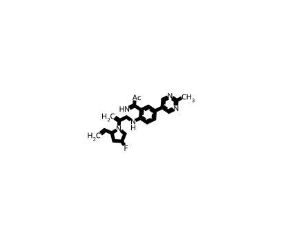 C=CC1CC(F)CN1C(=C)CNc1ccc(-c2cnc(C)nc2)cc1C(=N)C(C)=O